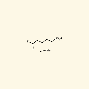 CNC.O=S(=O)(O)CCCCC(F)F